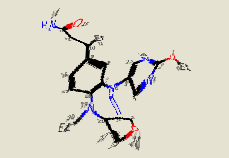 CCOc1ncc(Nc2cc(C(CC)CC(N)=O)ccc2N(CC)C2CCOCC2)cn1